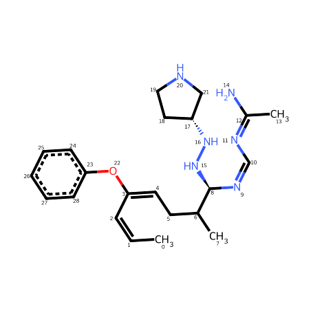 C/C=C\C(=C/CC(C)[C@H](/N=C\N=C(/C)N)NN[C@@H]1CCNC1)Oc1ccccc1